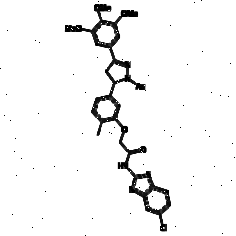 COc1cc(C2=NN(C(C)=O)C(c3ccc(C)c(OCC(=O)Nc4nc5cc(Cl)ccc5s4)c3)C2)cc(OC)c1OC